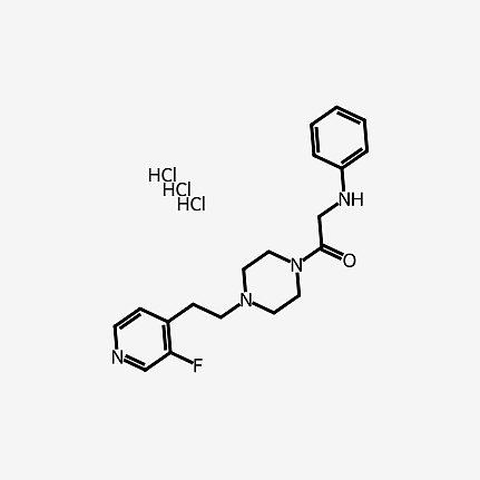 Cl.Cl.Cl.O=C(CNc1ccccc1)N1CCN(CCc2ccncc2F)CC1